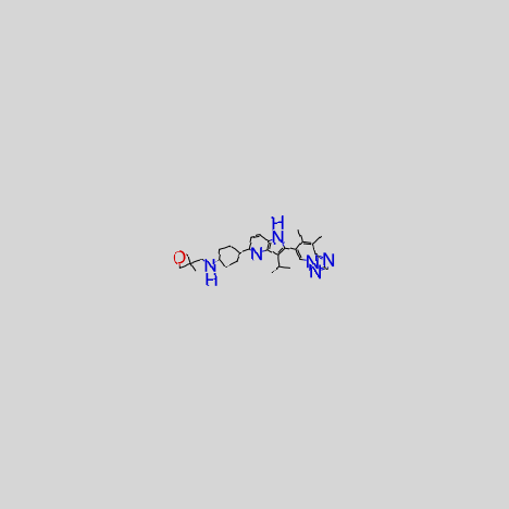 Cc1c(-c2[nH]c3ccc(C4CCC(NCC5(C)COC5)CC4)nc3c2C(C)C)cn2ncnc2c1C